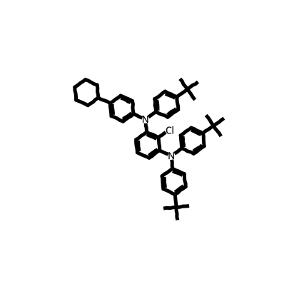 CC(C)(C)c1ccc(N(c2ccc(C3CCCCC3)cc2)c2cccc(N(c3ccc(C(C)(C)C)cc3)c3ccc(C(C)(C)C)cc3)c2Cl)cc1